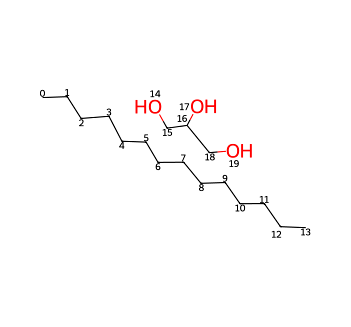 CCCCCCCCCCCCCC.OCC(O)CO